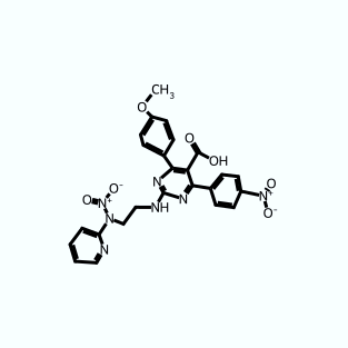 COc1ccc(-c2nc(NCCN(c3ccccn3)[N+](=O)[O-])nc(-c3ccc([N+](=O)[O-])cc3)c2C(=O)O)cc1